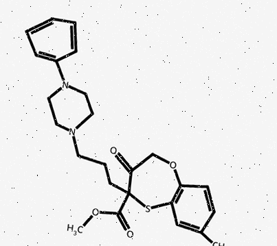 COC(=O)C1(CCCN2CCN(c3ccccc3)CC2)Sc2cc(C)ccc2OCC1=O